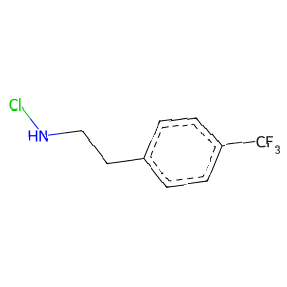 FC(F)(F)c1ccc(CCNCl)cc1